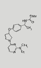 CCN(C)c1nccc(N2CCC(Oc3ccc([C@H](C)NC(=O)OC)cc3)C2)n1